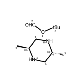 CC(C)(C)OC=O.C[C@@H]1CN[C@@H](C)CN1